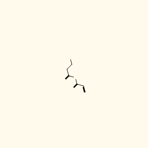 C=CC(=O)OC(=O)CCC(=O)OCC